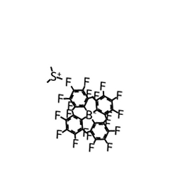 C[S+](C)C.Fc1c(F)c(F)c([B-](c2c(F)c(F)c(F)c(F)c2F)(c2c(F)c(F)c(F)c(F)c2F)c2c(F)c(F)c(F)c(F)c2F)c(F)c1F